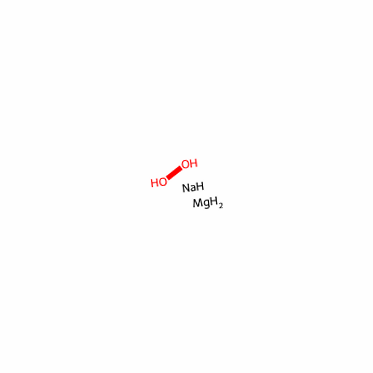 OO.[MgH2].[NaH]